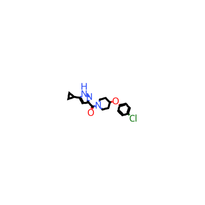 O=C(c1cc(C2CC2)[nH]n1)N1CCC(Oc2ccc(Cl)cc2)CC1